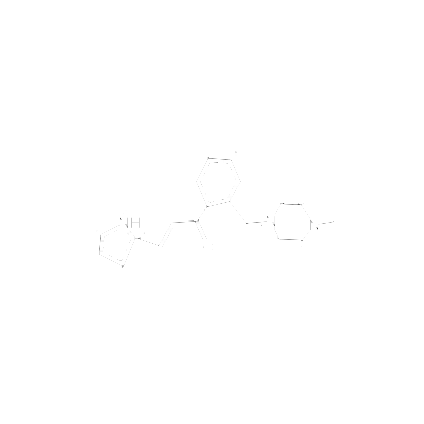 CN1CCN(Cc2ccccc2C(=O)C=Cc2ccc[nH]2)CC1